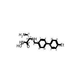 CCc1ccc(-c2ccc(CN[C@@H](CN)C(=O)NO)cc2)cc1